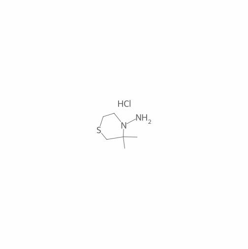 CC1(C)CSCCN1N.Cl